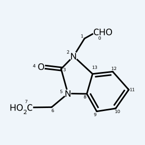 O=CCn1c(=O)n(CC(=O)O)c2ccccc21